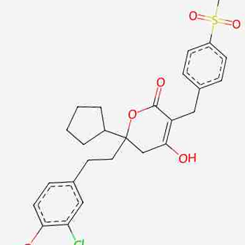 COc1ccc(CCC2(C3CCCC3)CC(O)=C(Cc3ccc(S(C)(=O)=O)cc3)C(=O)O2)cc1Cl